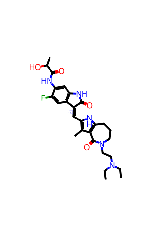 CCN(CC)CCN1CCCc2[nH]c(/C=C3\C(=O)Nc4cc(NC(=O)C(C)O)c(F)cc43)c(C)c2C1=O